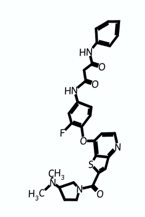 CN(C)C1CCN(C(=O)c2cc3nccc(Oc4ccc(NC(=O)CC(=O)Nc5ccccc5)cc4F)c3s2)C1